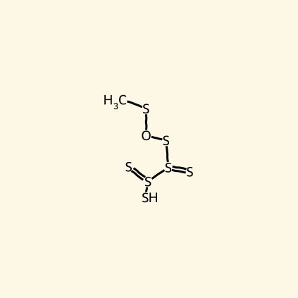 CSOSS(=S)S(=S)S